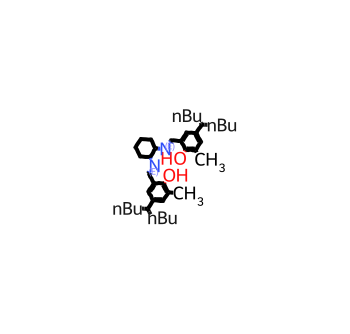 CCCCC(CCCC)c1cc(C)c(O)c(/C=N/C2CCCCC2/N=C/c2cc(C(CCCC)CCCC)cc(C)c2O)c1